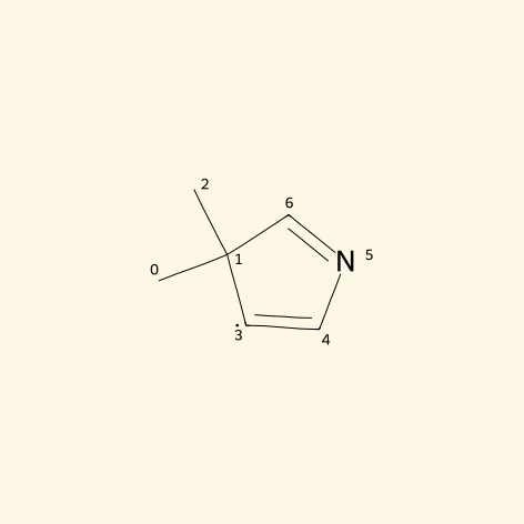 CC1(C)[C]=CN=C1